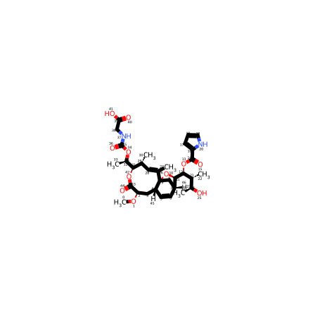 CO[C@H]1C[C@H]2C=C[C@@H]3C[C@]2(O[C@H]3[C@H](OC(=O)c2ccc[nH]2)[C@H](C)[C@H](C)O)/C(C)=C/[C@@H](C)[C@@H]([C@@H](C)OC(=O)NCC(=O)O)OC1=O